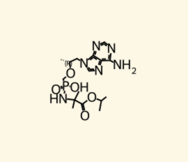 CC(C)OC(=O)C(C)(C)NP(=O)(O)CO[C@H](C)Cn1cnc2c(N)ncnc21